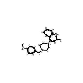 COc1ccc(CN2CCN(c3cc(C)nc4ccccc34)CC2)cc1